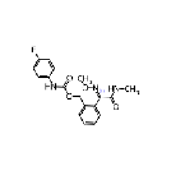 CNC(=O)/C(=N/OC)c1ccccc1COC(=O)Nc1ccc(F)cc1